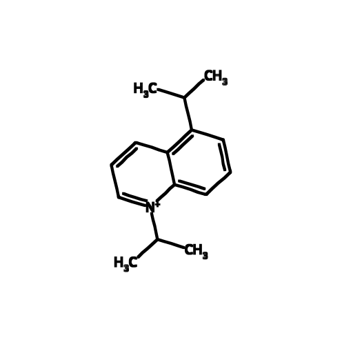 CC(C)c1cccc2c1ccc[n+]2C(C)C